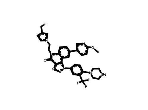 COc1ccc(-c2ccc3c(c2)c2c(nnn2-c2ccc(N4CCNCC4)c(C(F)(F)F)c2)c(=O)n3CCn2ccc(CF)c2)cn1